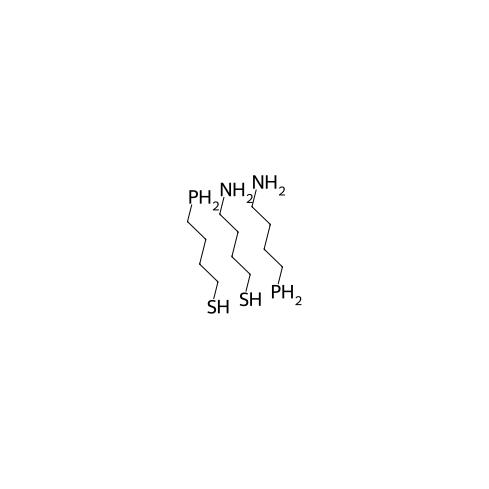 NCCCCP.NCCCCS.PCCCCS